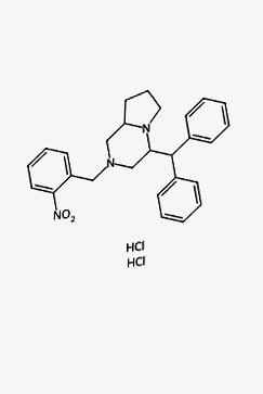 Cl.Cl.O=[N+]([O-])c1ccccc1CN1CC2CCCN2C(C(c2ccccc2)c2ccccc2)C1